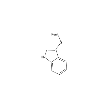 CCCC(C)Sc1c[nH]c2ccccc12